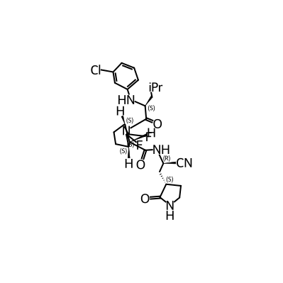 CC(C)C[C@H](Nc1cccc(Cl)c1)C(=O)N1[C@H]2CC[C@@H]([C@H]1C(=O)N[C@@H](C#N)C[C@@H]1CCNC1=O)C(F)(F)C2